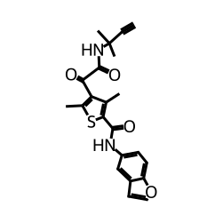 C#CC(C)(C)NC(=O)C(=O)c1c(C)sc(C(=O)Nc2ccc3occc3c2)c1C